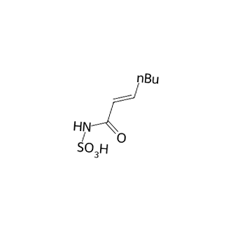 CCCCC=CC(=O)NS(=O)(=O)O